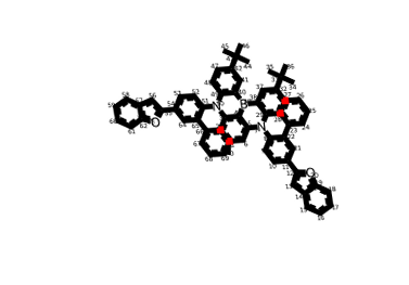 Cc1cc2c3c(c1)N(c1ccc(-c4cc5ccccc5o4)cc1-c1ccccc1)c1ccc(C(C)(C)C)cc1B3c1cc(C(C)(C)C)ccc1N2c1ccc(-c2cc3ccccc3o2)cc1-c1ccccc1